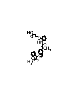 CCCC(c1ccccc1C)n1ccc2cc(/C(C)=C/C(=O)Nc3ccccc3OCCCC(=O)O)ccc21